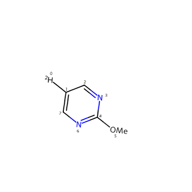 [2H]c1cnc(OC)nc1